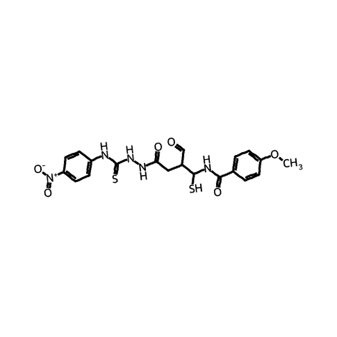 COc1ccc(C(=O)NC(S)C(C=O)CC(=O)NNC(=S)Nc2ccc([N+](=O)[O-])cc2)cc1